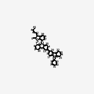 C=c1sc2c(-n3c4ccccc4c4cc(-c5ccc6c(c5)c5ccccc5n6-c5ccccc5)ccc43)cccc2/c1=C/C=C\C